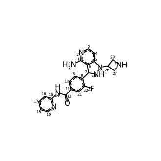 Nc1nccc2c1C(c1ccc(C(=O)Nc3ccccn3)cc1F)NN2C1CNC1